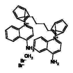 Nc1cc[n+](C2(CCCCC3([n+]4ccc(N)c5ccccc54)C4=CC=C3C=C4)C3=CC=C2C=C3)c2ccccc12.O.[Br-].[Br-]